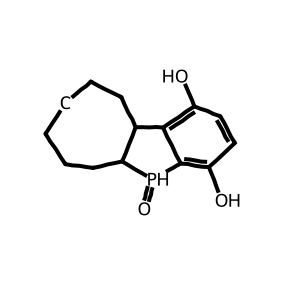 O=[PH]1c2c(O)ccc(O)c2C2CCCCCCC21